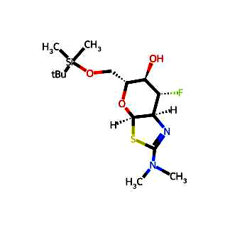 CN(C)C1=N[C@@H]2[C@@H](F)[C@H](O)[C@@H](CO[Si](C)(C)C(C)(C)C)O[C@@H]2S1